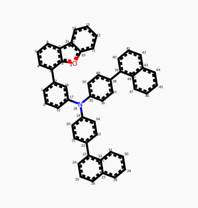 c1cc(-c2cccc3c2oc2ccccc23)cc(N(c2ccc(-c3cccc4ccccc34)cc2)c2ccc(-c3cccc4ccccc34)cc2)c1